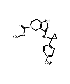 CC(C)(C)OC(=O)N1CCc2[nH]nc(NC3(c4ccc(C(=O)O)cn4)CC3)c2C1